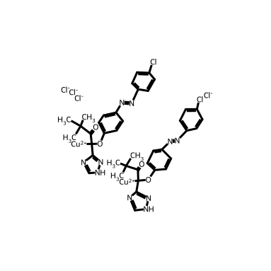 CC(C)(C)C(=O)[C]([Cu+2])(Oc1ccc(N=Nc2ccc(Cl)cc2)cc1)c1nc[nH]n1.CC(C)(C)C(=O)[C]([Cu+2])(Oc1ccc(N=Nc2ccc(Cl)cc2)cc1)c1nc[nH]n1.[Cl-].[Cl-].[Cl-].[Cl-]